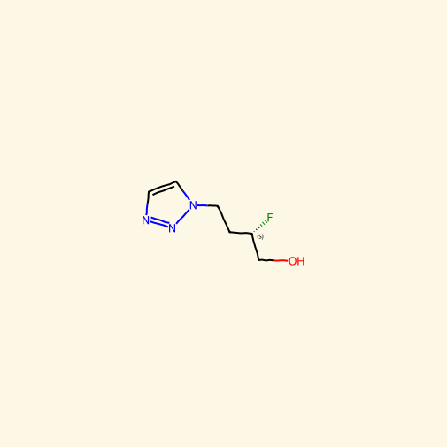 OC[C@@H](F)CCn1ccnn1